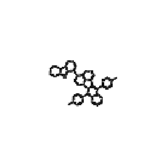 Cc1ccc(-c2c3c(c(-c4ccc(C)cc4)c4ccccc24)-c2ccc(-c4cccc5c4sc4ccccc45)c4cccc-3c24)cc1